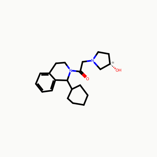 O=C(CN1CC[C@H](O)C1)N1CCc2ccccc2C1C1CCCCC1